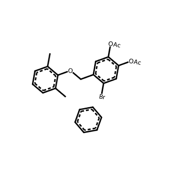 CC(=O)Oc1cc(Br)c(COc2c(C)cccc2C)cc1OC(C)=O.c1ccccc1